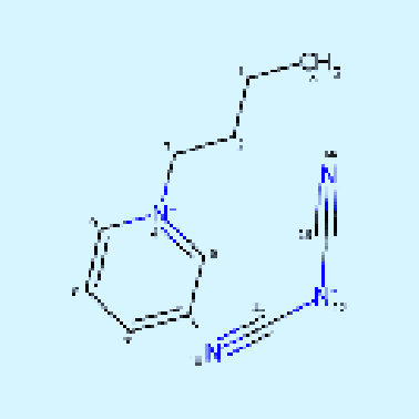 CCCC[n+]1ccccc1.N#C[N-]C#N